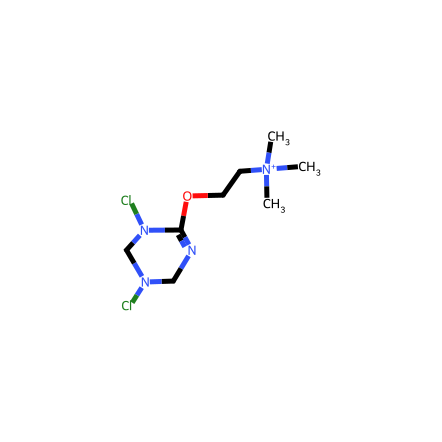 C[N+](C)(C)CCOC1=NCN(Cl)CN1Cl